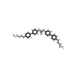 CCCCc1ccc(-c2ccc(OC(=O)Oc3ccc(-c4ccc(CCCC)cc4)cc3)cc2)cc1